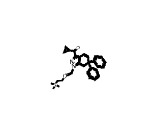 C[Si](C)(C)CCOCn1nc(C(=O)C2CC2)c2c1CC(c1ccccc1)(c1ccccc1)C=C2